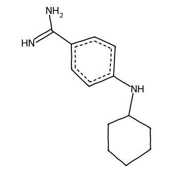 N=C(N)c1ccc(NC2CCCCC2)cc1